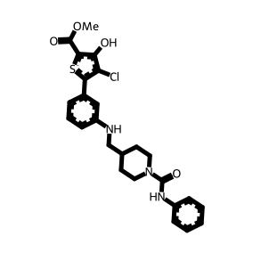 COC(=O)c1sc(-c2cccc(NCC3CCN(C(=O)Nc4ccccc4)CC3)c2)c(Cl)c1O